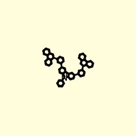 c1ccc(-n2c3ccc(-c4cccc(-c5cc6ccccc6c6ccccc56)c4)cc3c3cc(-c4cccc(-c5cc6ccccc6c6ccccc56)c4)ccc32)cc1